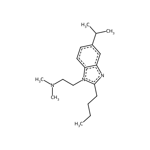 CCCCc1nc2cc(C(C)C)ccc2n1CCN(C)C